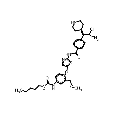 CCCCCNC(=O)Nc1ccc(Oc2cnc(NC(=O)c3ccc(C(=C4CCNCC4)C(C)C)cc3)s2)c(COC)c1